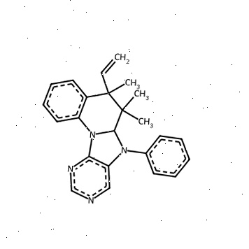 C=CC1(C)c2ccccc2N2c3ncncc3N(c3ccccc3)C2C1(C)C